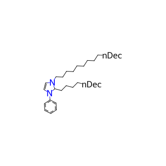 CCCCCCCCCCCCCCCCCCCN1C=CN(c2ccccc2)C1CCCCCCCCCCCCCC